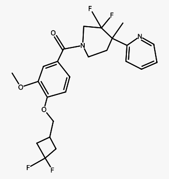 COc1cc(C(=O)N2CCC(C)(c3ccccn3)C(F)(F)C2)ccc1OCC1CC(F)(F)C1